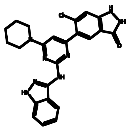 O=c1[nH][nH]c2cc(Cl)c(-c3cc(N4CCCCC4)nc(Nc4n[nH]c5ccccc45)n3)cc12